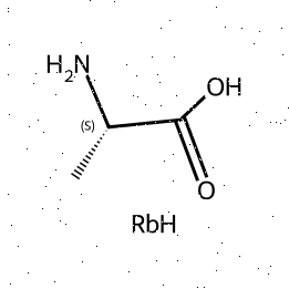 C[C@H](N)C(=O)O.[RbH]